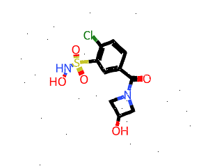 O=C(c1ccc(Cl)c(S(=O)(=O)NO)c1)N1CC(O)C1